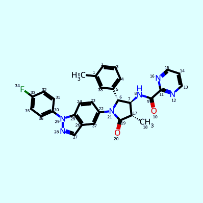 Cc1cccc([C@@H]2[C@@H](NC(=O)c3ncccn3)[C@H](C)C(=O)N2c2ccc3c(cnn3-c3ccc(F)cc3)c2)c1